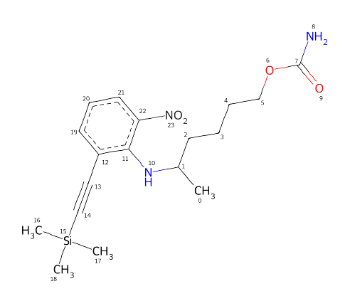 CC(CCCCOC(N)=O)Nc1c(C#C[Si](C)(C)C)cccc1[N+](=O)[O-]